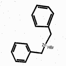 Br.c1ccc([CH2][Zn][CH2]c2ccccc2)cc1